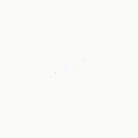 O=[N+]([O-])c1ccc(Cn2ncc3cc([N+](=O)[O-])ccc32)cc1